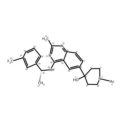 CC(=O)N1CCC(O)(c2ccc3nc(C)nc(N[C@H](C)c4cccc(C(F)(F)F)c4)c3c2)CC1